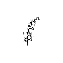 N#CCC12CCC(NC(=O)Cc3nc4cnc5[nH]ccc5c4[nH]3)(CC1)C2